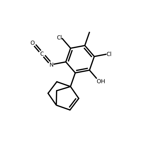 Cc1c(Cl)c(O)c(C23C=CC(CC2)C3)c(N=C=O)c1Cl